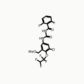 COCc1cc(NC(=O)NC(=O)c2c(F)cccc2F)cc(Cl)c1OC(F)(F)C(F)F